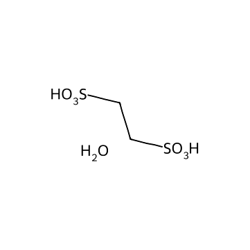 O.O=S(=O)(O)CCS(=O)(=O)O